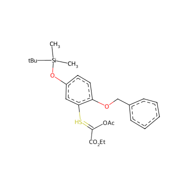 CCOC(=O)/C(OC(C)=O)=[SH]/c1cc(O[Si](C)(C)C(C)(C)C)ccc1OCc1ccccc1